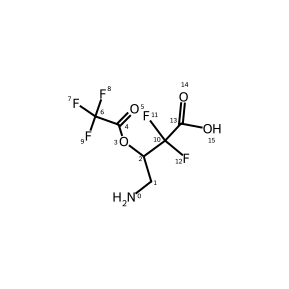 NCC(OC(=O)C(F)(F)F)C(F)(F)C(=O)O